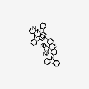 c1cnc(-n2c3ccccc3c3cc(-c4ccc5c(c4)C4(c6cc(-n7c8ccccc8c8ccccc87)ccc6S5)c5cccnc5-c5ncccc54)ccc32)c(-n2c3ccccc3c3ccccc32)c1